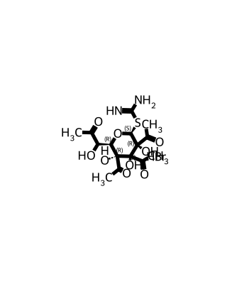 Br.CC(=O)C(O)[C@H]1O[C@@H](SC(=N)N)[C@](O)(C(C)=O)[C@](O)(C(C)=O)[C@@]1(O)C(C)=O